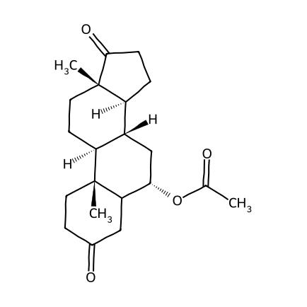 CC(=O)O[C@H]1C[C@@H]2[C@H](CC[C@]3(C)C(=O)CC[C@@H]23)[C@@]2(C)CCC(=O)CC12